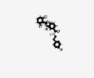 O=C(NCCc1ccc(Br)cc1)c1ccc2nc(-c3c(Cl)cccc3Cl)[nH]c2c1